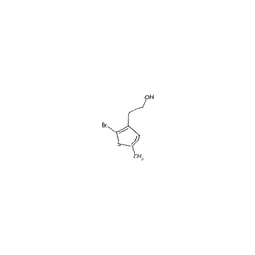 Cc1cc(CCO)c(Br)s1